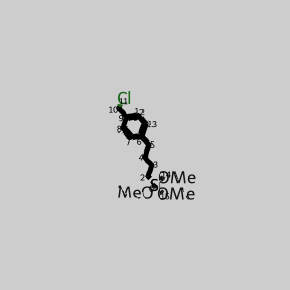 CO[Si](CCCCc1ccc(CCl)cc1)(OC)OC